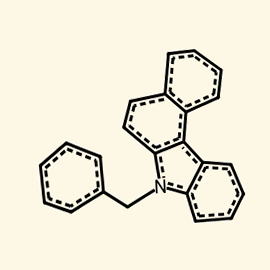 c1ccc(Cn2c3ccccc3c3c4ccccc4ccc32)cc1